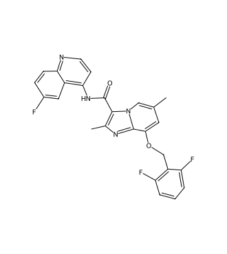 Cc1cc(OCc2c(F)cccc2F)c2nc(C)c(C(=O)Nc3ccnc4ccc(F)cc34)n2c1